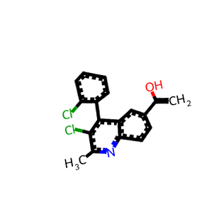 C=C(O)c1ccc2nc(C)c(Cl)c(-c3ccccc3Cl)c2c1